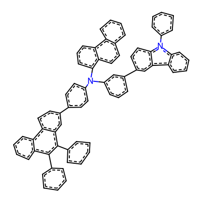 c1ccc(-c2c(-c3ccccc3)c3cc(-c4ccc(N(c5cccc(-c6ccc7c(c6)c6ccccc6n7-c6ccccc6)c5)c5cccc6c5ccc5ccccc56)cc4)ccc3c3ccccc23)cc1